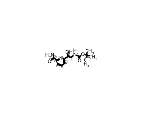 CC(C)(C)OC(=O)NCC(O)c1cccc(C(N)=O)n1